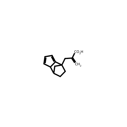 C=C(CC12CCC(C1)C1C=CC=C12)C(=O)O